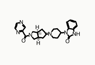 O=C(c1cnccn1)N1C[C@H]2C[C@@H](N3CCC(n4c(=O)[nH]c5ccccc54)CC3)C[C@H]2C1